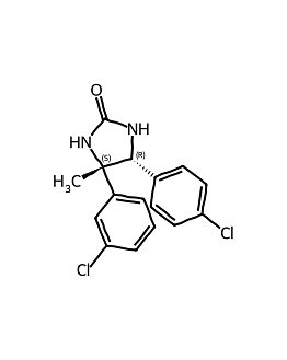 C[C@@]1(c2cccc(Cl)c2)NC(=O)N[C@@H]1c1ccc(Cl)cc1